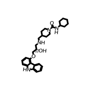 O=C(NC1CCCCC1)N1CCC(CNC[C@H](O)COc2cccc3[nH]c4ccccc4c23)CC1